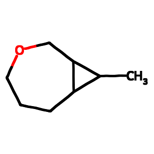 CC1C2CCCOCC12